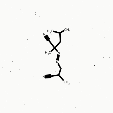 CC(C)CC(C)(C#N)N=NCC(C)C#N